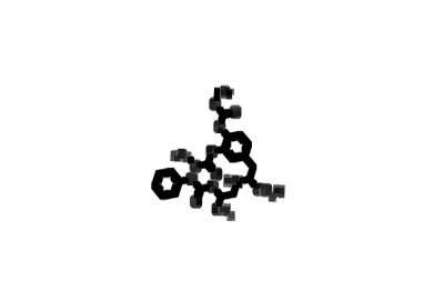 CCCOC(=O)Oc1ccc(C[C@H](NCC(C)OC(=O)Oc2ccccc2)C(=O)O)cc1OC(=O)OCCC